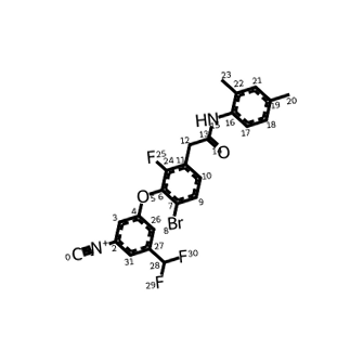 [C-]#[N+]c1cc(Oc2c(Br)ccc(CC(=O)Nc3ccc(C)cc3C)c2F)cc(C(F)F)c1